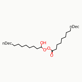 CCCCCCCCCCCCCCCCCC(=O)OOC(O)CCCCCCCCCCCCCCCCC